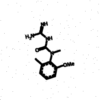 COc1cccc(C)c1N(C)C(=O)NC(=N)N